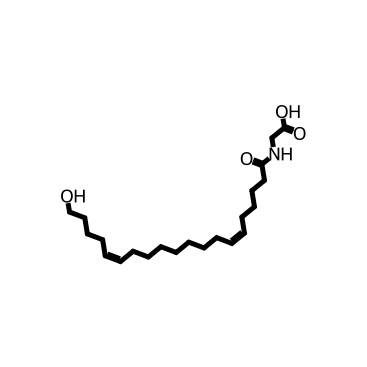 O=C(O)CNC(=O)CCCC/C=C\CCCCCCC/C=C\CCCCO